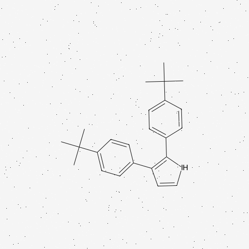 CC(C)(C)c1ccc(C2=C(c3ccc(C(C)(C)C)cc3)[IH]C=C2)cc1